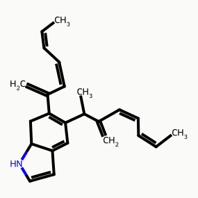 C=C(/C=C\C=C/C)C1=C(C(C)C(=C)/C=C\C=C/C)C=C2C=CNC2C1